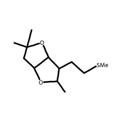 CSCCC1C(C)OC2CC(C)(C)OC21